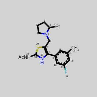 CCC1CCCN1CC1=C(c2cc(F)cc(C(F)(F)F)c2)NC(NC(C)=O)S1